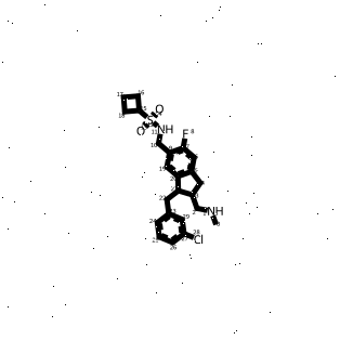 CNCC1Cc2cc(F)c(CNS(=O)(=O)C3CCC3)cc2C1Cc1cccc(Cl)c1